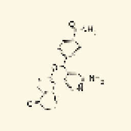 NC(=O)c1ccc(C(Oc2ccc3c(c2)OCCC3=O)c2ccnc(N)c2)cc1